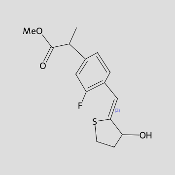 COC(=O)C(C)c1ccc(/C=C2\SCCC2O)c(F)c1